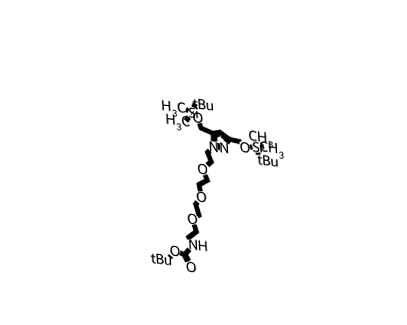 CC(C)(C)OC(=O)NCCOCCOCCOCCn1nc(CO[Si](C)(C)C(C)(C)C)cc1CO[Si](C)(C)C(C)(C)C